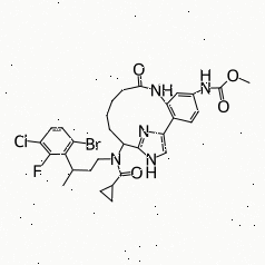 COC(=O)Nc1ccc2c(c1)NC(=O)CCCCC(N(CCC(C)c1c(Br)ccc(Cl)c1F)C(=O)C1CC1)c1nc-2c[nH]1